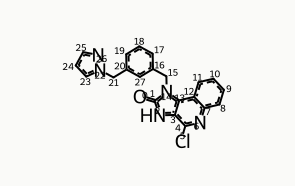 O=c1[nH]c2c(Cl)nc3ccccc3c2n1Cc1cccc(Cn2cccn2)c1